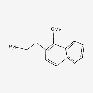 COc1c(CCN)ccc2ccccc12